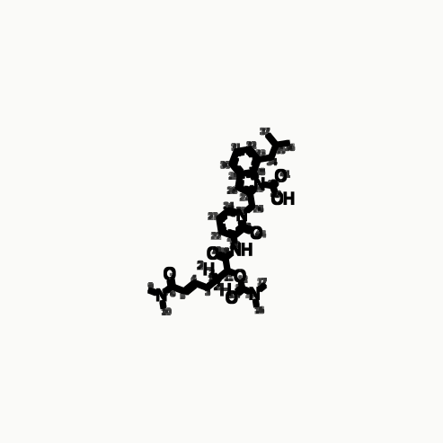 [2H]C([2H])(C/C=C/C(=O)N(C)C)C(OC(=O)N(C)C)C(=O)Nc1cccn(Cc2cc3cccc(CC(C)C)c3n2C(=O)O)c1=O